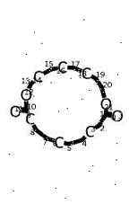 O=C1CCCCCCCCC(=O)OCCCCCCCCO1